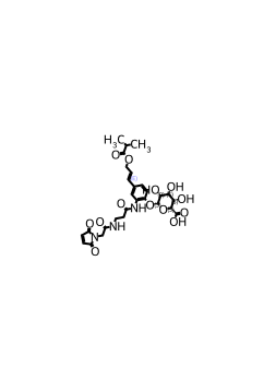 CC(C)C(=O)OC/C=C/c1ccc(O[C@@H]2O[C@H](C(=O)O)[C@@H](O)[C@H](O)[C@H]2O)c(NC(=O)CCNC(=O)CN2C(=O)C=CC2=O)c1